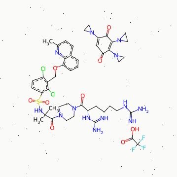 Cc1ccc2cccc(OCc3c(Cl)ccc(S(=O)(=O)NC(C)(C)C(=O)N4CCN(C(=O)C(CCCCNC(=N)N)NC(=N)N)CC4)c3Cl)c2n1.O=C(O)C(F)(F)F.O=C1C=C(N2CC2)C(=O)C(N2CC2)=C1N1CC1